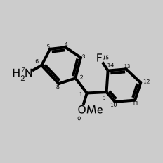 COC(c1cccc(N)c1)c1ccccc1F